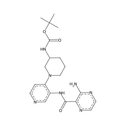 CC(C)(C)OC(=O)NC1CCCN(c2ccncc2NC(=O)c2nccnc2N)C1